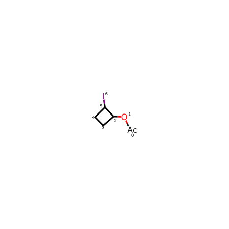 CC(=O)OC1CCC1I